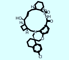 O=C1NS(=O)(=O)[C@@H]2CCCC[C@H]2C/C=C/[C@H](O)[C@@H]2CC[C@H]2CN2C[C@@]3(CCCc4cc(Cl)ccc43)COc3ccc1cc32